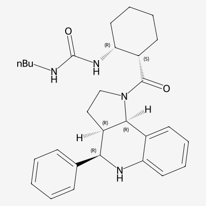 CCCCNC(=O)N[C@@H]1CCCC[C@@H]1C(=O)N1CC[C@@H]2[C@H](c3ccccc3)Nc3ccccc3[C@@H]21